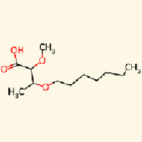 CCCCCCCOC(C)C(OC)C(=O)O